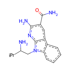 CC(C)C(N)Cn1c2ccccc2c2cc(C(N)=O)c(N)nc21